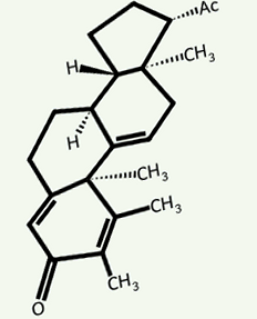 CC(=O)[C@H]1CC[C@H]2[C@@H]3CCC4=CC(=O)C(C)=C(C)[C@]4(C)C3=CC[C@]12C